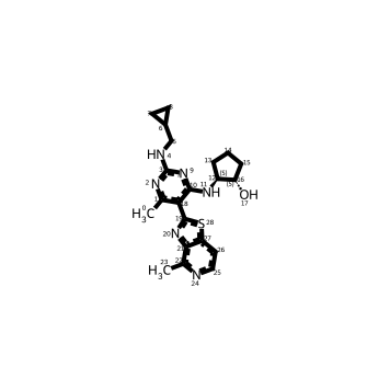 Cc1nc(NCC2CC2)nc(N[C@H]2CCC[C@@H]2O)c1-c1nc2c(C)nccc2s1